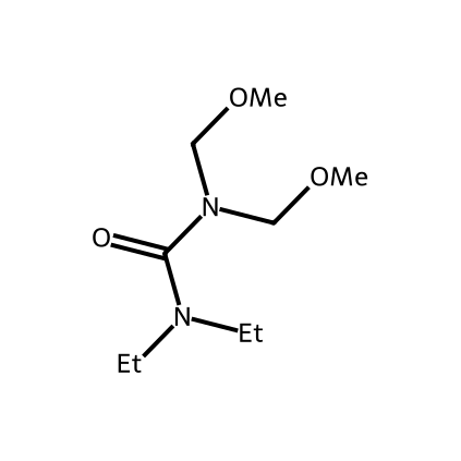 CCN(CC)C(=O)N(COC)COC